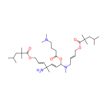 CC(C)CC(C)(C)C(=O)OC/C=C/CN(C)C(/C=C/C(C)(N)/C=C/COC(=O)C(C)(C)CC(C)C)OC(=O)CCCN(C)C